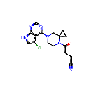 N#CCCC(=O)N1CCN(c2ncnc3[nH]cc(Cl)c23)CC12CC2